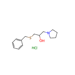 Cl.OC(CSCc1ccccc1)CN1CCCC1